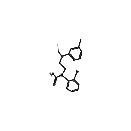 CCN(CCN(C(N)=O)c1ccccc1Br)c1cccc(C)c1